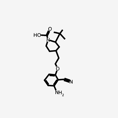 CC(C)(C)C1CC(CCOc2cccc(N)c2C#N)CCN1C(=O)O